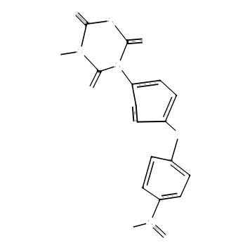 Cn1c(=O)[nH]c(=O)n(-c2ccc(Sc3ccc([N+](=O)[O-])cc3)cc2)c1=O